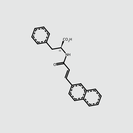 O=C(C=Cc1ccc2ccccc2c1)N[C@@H](Cc1ccccc1)C(=O)O